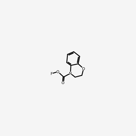 O=C(OF)N1CCOc2ccccc21